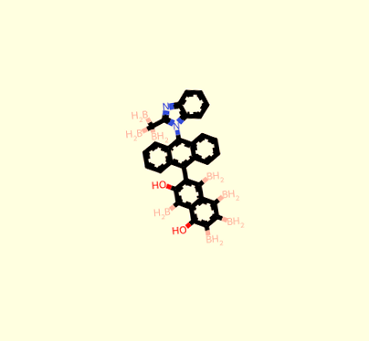 Bc1c(B)c(O)c2c(B)c(O)c(-c3c4ccccc4c(-n4c(C(B)(B)B)nc5ccccc54)c4ccccc34)c(B)c2c1B